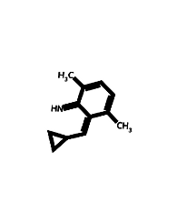 CC1=CC=C(C)/C(=C/C2CC2)C1=N